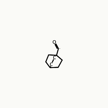 O=[C]C12CCC(CC1)CC2